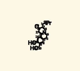 CC(C)C[C@H]1CN2CCc3cc(CO)c(O)cc3C2CC1=O